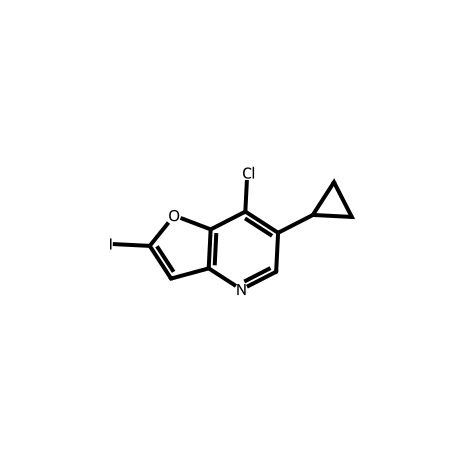 Clc1c(C2CC2)cnc2cc(I)oc12